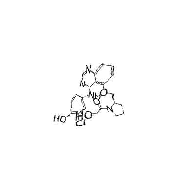 O=C(CO)N1CCC[C@@H]1COc1cccc2ncnc(Nc3ccc(O)c(Cl)c3)c12